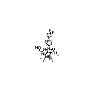 CNc1nc(CO)nc2c1C(C)(C)C(=O)N2c1cnc(N2CCC(F)(F)C2)nc1